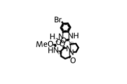 COC(=O)N[C@H]1CCC(=O)N2CCC[C@@H](C(=O)Nc3ccc(Br)cc3N)N2C1=O